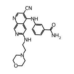 N#Cc1cnc2cnc(NCCN3CCOCC3)cc2c1Nc1cccc(C(N)=O)c1